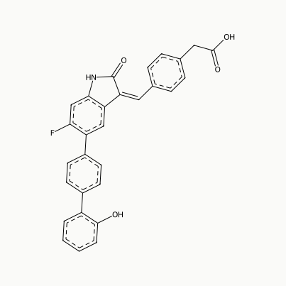 O=C(O)Cc1ccc(C=C2C(=O)Nc3cc(F)c(-c4ccc(-c5ccccc5O)cc4)cc32)cc1